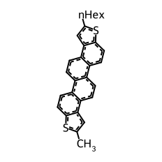 CCCCCCc1cc2c(ccc3c2ccc2c4ccc5sc(C)cc5c4ccc32)s1